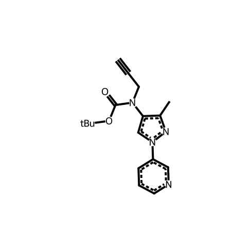 C#CCN(C(=O)OC(C)(C)C)c1cn(-c2cccnc2)nc1C